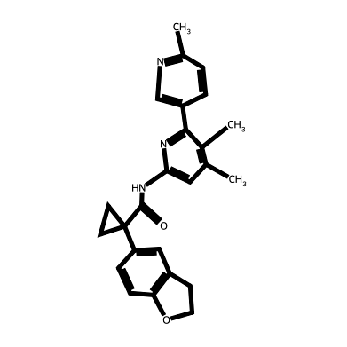 Cc1ccc(-c2nc(NC(=O)C3(c4ccc5c(c4)CCO5)CC3)cc(C)c2C)cn1